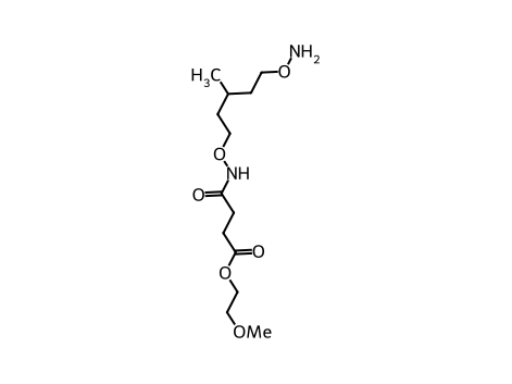 COCCOC(=O)CCC(=O)NOCCC(C)CCON